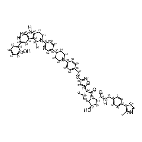 Cc1ncsc1-c1ccc(CNC(=O)[C@@H]2C[C@@H](O)CN2C(=O)[C@@H](c2cc(OCc3ccc(N4CCC(c5cnc(N6CCc7[nH]c8nnc(-c9ccccc9O)cc8c7[C@H]6C)nc5)CC4)cc3)no2)C(C)C)cc1